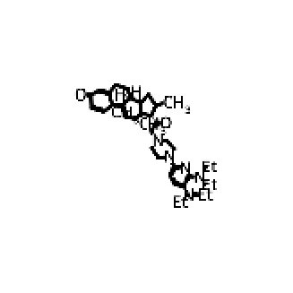 CCN(CC)c1ccc(N2CCN(CC(=O)[C@H]3C(C)C[C@H]4[C@@H]5CCC6=CC(=O)C=C[C@]6(C)C5=CC[C@]34C)CC2)nc1N(CC)CC